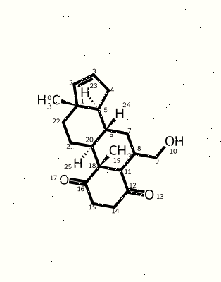 C[C@@]12C=CC[C@H]1[C@@H]1CC(CO)C3C(=O)CCC(=O)[C@]3(C)[C@H]1CC2